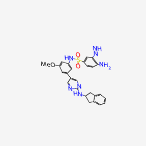 COc1cc(NS(=O)(=O)c2ccc(N)c(N=N)c2)cc(-c2cnc(NC3Cc4ccccc4C3)nc2)c1